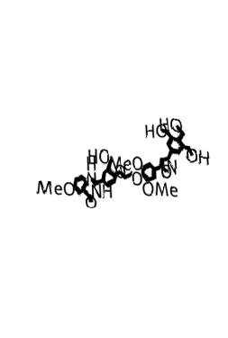 COc1ccc2c(c1)C(=O)NC(c1ccc(OCCOc3c(OC)cc(-c4cc(-c5cc(CO)c(CO)c(CO)c5)no4)cc3OC)c(CO)c1)N2